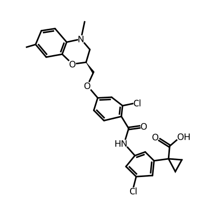 Cc1ccc2c(c1)O[C@H](COc1ccc(C(=O)Nc3cc(Cl)cc(C4(C(=O)O)CC4)c3)c(Cl)c1)CN2C